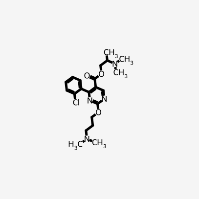 CC(COC(=O)c1cnc(OCCCN(C)C)nc1-c1ccccc1Cl)N(C)C